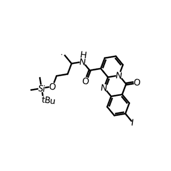 [CH2]C(CCO[Si](C)(C)C(C)(C)C)NC(=O)c1cccn2c(=O)c3cc(I)ccc3nc12